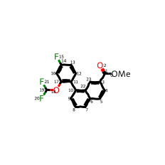 COC(=O)c1ccc2cccc(-c3ccc(F)cc3OC(F)F)c2c1